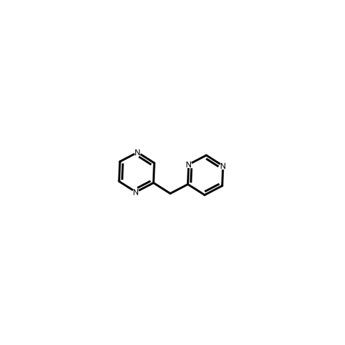 c1cc(Cc2cnccn2)ncn1